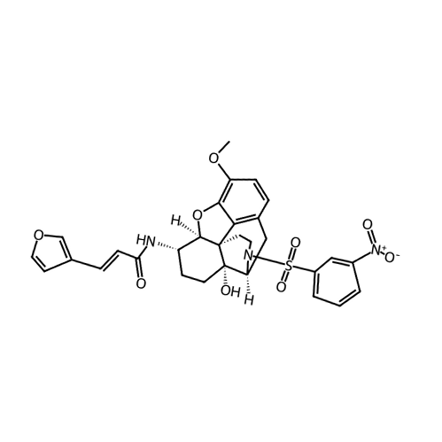 COc1ccc2c3c1O[C@@H]1[C@@H](NC(=O)/C=C/c4ccoc4)CC[C@]4(O)[C@H](C2)N(S(=O)(=O)c2cccc([N+](=O)[O-])c2)CC[C@@]314